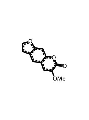 COc1cc2cc3ccoc3cc2oc1=O